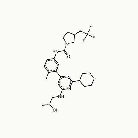 Cc1ccc(NC(=O)N2CC[C@@H](CC(F)(F)F)C2)cc1-c1cc(NC[C@@H](C)O)nc(C2CCOCC2)c1